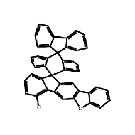 Clc1cccc2c1-c1cc3oc4ccccc4c3cc1C21c2ccccc2C2(c3ccccc3-c3ccccc32)c2ccccc21